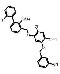 COc1c(COc2cc(OCc3cccc(C#N)c3)c(C=O)cc2Cl)cccc1-c1ccccc1F